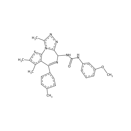 COc1cccc(NC(=O)NC2N=C(c3ccc(C)cc3)c3c(sc(C)c3C)-n3c(C)nnc32)c1